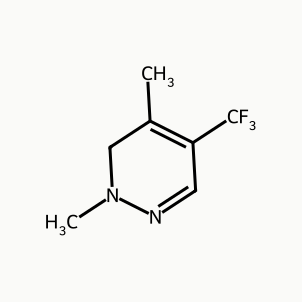 CC1=C(C(F)(F)F)C=NN(C)C1